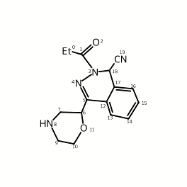 CCC(=O)N1N=C(C2CNCCO2)c2ccccc2C1C#N